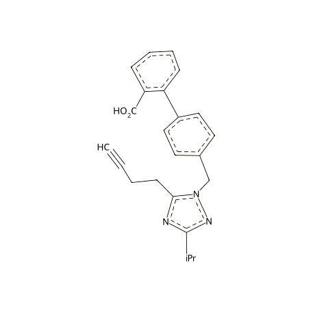 C#CCCc1nc(C(C)C)nn1Cc1ccc(-c2ccccc2C(=O)O)cc1